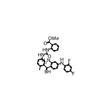 B=C(c1cc(NC(=O)Nc2ccccc2C(=O)OC)ccc1C)c1ccc(Nc2ccc(F)cc2F)cc1N